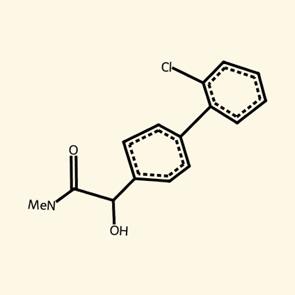 CNC(=O)C(O)c1ccc(-c2ccccc2Cl)cc1